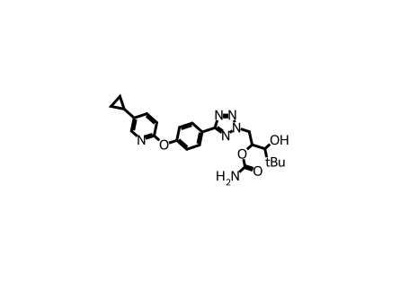 CC(C)(C)C(O)C(Cn1nnc(-c2ccc(Oc3ccc(C4CC4)cn3)cc2)n1)OC(N)=O